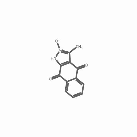 Cc1c2c([nH][n+]1[O-])C(=O)c1ccccc1C2=O